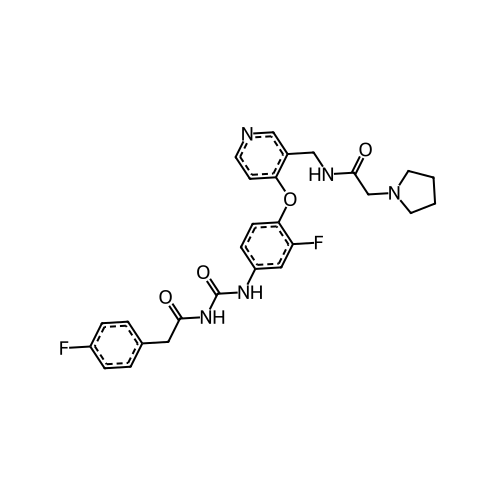 O=C(CN1CCCC1)NCc1cnccc1Oc1ccc(NC(=O)NC(=O)Cc2ccc(F)cc2)cc1F